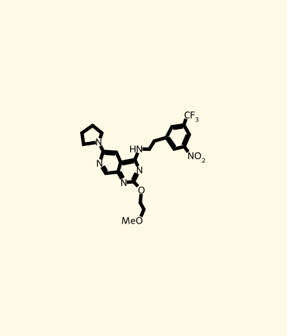 COCCOc1nc(NCCc2cc([N+](=O)[O-])cc(C(F)(F)F)c2)c2cc(N3CCCC3)ncc2n1